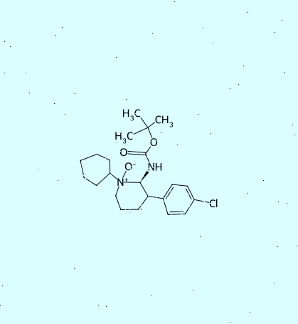 CC(C)(C)OC(=O)N[C@H]1C(c2ccc(Cl)cc2)[CH]CC[N+]1([O-])C1CCCCC1